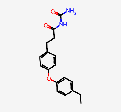 CCc1ccc(Oc2ccc(CCC(=O)NC(N)=O)cc2)cc1